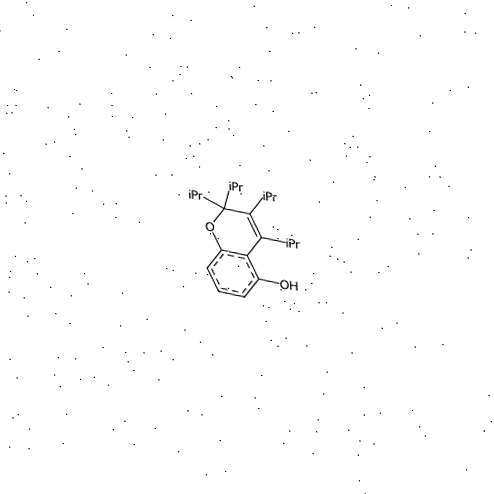 CC(C)C1=C(C(C)C)C(C(C)C)(C(C)C)Oc2cccc(O)c21